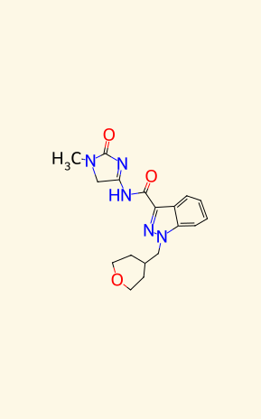 CN1CC(NC(=O)c2nn(CC3CCOCC3)c3ccccc23)=NC1=O